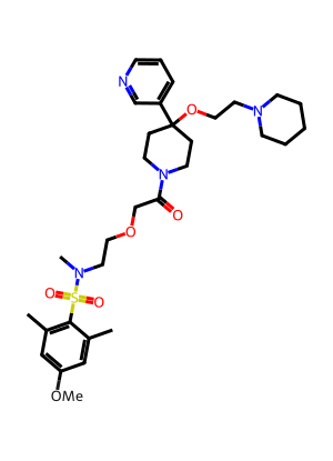 COc1cc(C)c(S(=O)(=O)N(C)CCOCC(=O)N2CCC(OCCN3CCCCC3)(c3cccnc3)CC2)c(C)c1